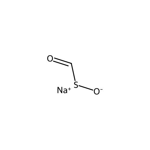 O=CS[O-].[Na+]